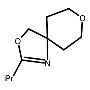 CC(C)C1=NC2(CCOCC2)CO1